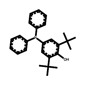 CC(C)(C)c1cc(N(c2ccccc2)c2ccccc2)cc(C(C)(C)C)c1O